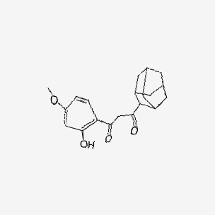 COc1ccc(C(=O)CC(=O)C2C3CC4CC(C3)CC2C4)c(O)c1